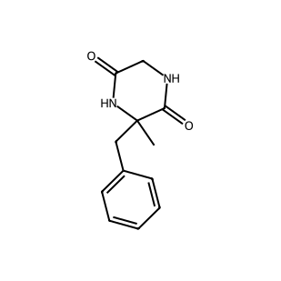 CC1(Cc2ccccc2)NC(=O)CNC1=O